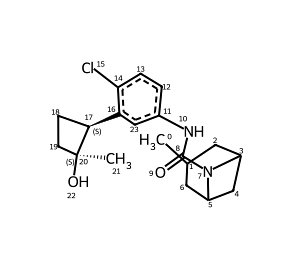 CC1CC2CC(C1)N2C(=O)Nc1ccc(Cl)c([C@@H]2CC[C@]2(C)O)c1